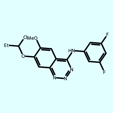 CCC(Cl)Oc1cc2nnnc(Nc3cc(F)cc(F)c3)c2cc1OC